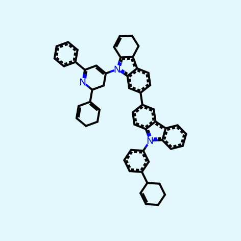 C1=CC(C2CC(n3c4c(c5ccc(-c6ccc7c(c6)c6ccccc6n7-c6cccc(C7C=CCCC7)c6)cc53)CCC=C4)=CC(c3ccccc3)=N2)=CCC1